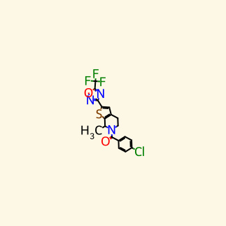 CC1c2sc(-c3noc(C(F)(F)F)n3)cc2CCN1C(=O)c1ccc(Cl)cc1